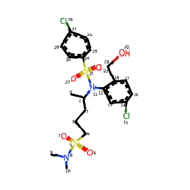 CC(CCCS(=O)(=O)N(C)C)N(c1cc(Cl)ccc1CO)S(=O)(=O)c1ccc(Cl)cc1